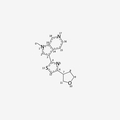 Cn1cc(-c2nc(C3CCOC3)cs2)c2ccncc21